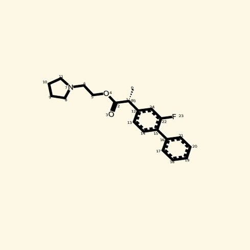 C[C@@H](C(=O)OCCN1CCCC1)c1ccc(-c2ccccc2)c(F)c1